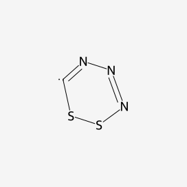 [C]1=NN=NSS1